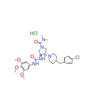 COc1cc(NC(=O)N[C@H]2CN(C(=O)N(C)C)C[C@@H]2N2CCC(Cc3ccc(Cl)cc3)CC2)cc(OC)c1OC.Cl